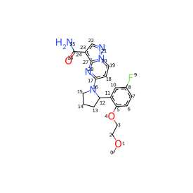 COCCOc1ccc(F)cc1C1CCCN1c1ccn2ncc(C(N)=O)c2n1